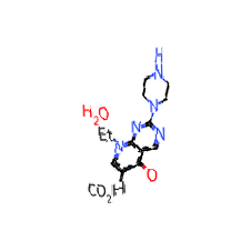 CCn1cc(C(=O)O)c(=O)c2cnc(N3CCNCC3)nc21.O